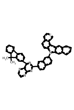 CC1(C)c2ccccc2-c2ccc(-c3nc(-c4ccc5ccc(-n6c7cc8ccccc8cc7c7c8ccccc8ccc76)cc5c4)nc4nccnc34)cc21